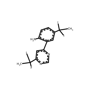 CC(F)(I)c1cc(-c2cc(C(C)(I)I)ccc2N)ncn1